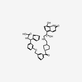 O=C(O)NC(c1ccccc1)c1cccc(OCc2cccc(C(=O)N3CCC(CNC[C@H](O)c4ccc(O)c5[nH]c(=O)ccc45)CC3)c2)c1